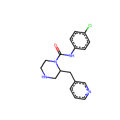 O=C(Nc1ccc(Cl)cc1)N1CCNCC1Cc1cccnc1